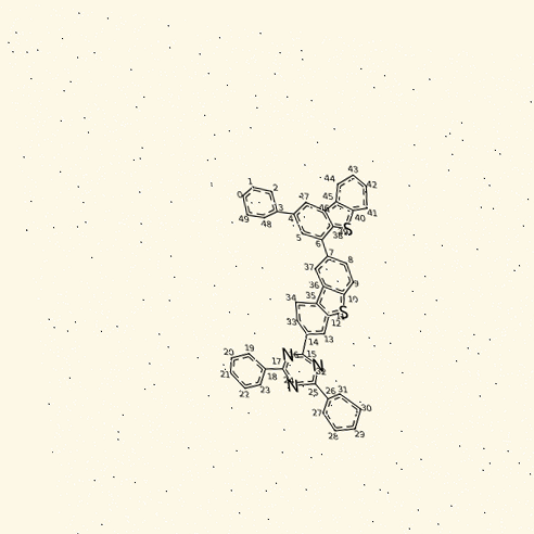 c1ccc(-c2cc(-c3ccc4sc5cc(-c6nc(-c7ccccc7)nc(-c7ccccc7)n6)ccc5c4c3)c3sc4ccccc4c3c2)cc1